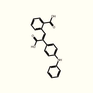 O=C(O)C(=Cc1ccccc1C(=O)O)c1ccc(Nc2ccccc2)cc1